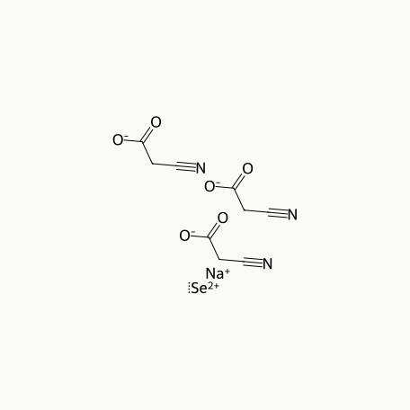 N#CCC(=O)[O-].N#CCC(=O)[O-].N#CCC(=O)[O-].[Na+].[Se+2]